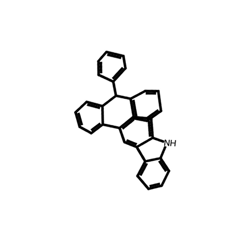 c1ccc(C(c2ccccc2)c2ccccc2-c2ccc3[nH]c4ccccc4c3c2)cc1